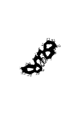 C1=CC2(C=Cc3c(ccc4ccccc34)O2)Oc2ccc3ccccc3c21